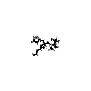 CCCCCC(O)(Cn1ccnn1)Cn1cncc1C(F)(F)F